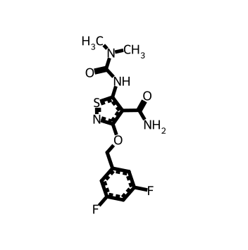 CN(C)C(=O)Nc1snc(OCc2cc(F)cc(F)c2)c1C(N)=O